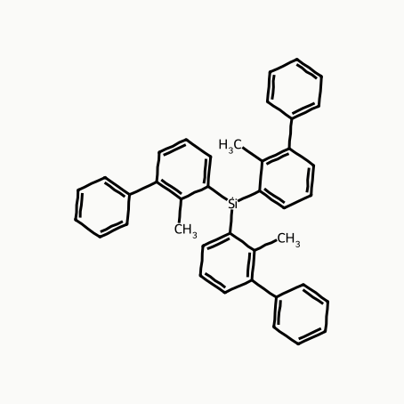 Cc1c(-c2ccccc2)cccc1[Si](c1cccc(-c2ccccc2)c1C)c1cccc(-c2ccccc2)c1C